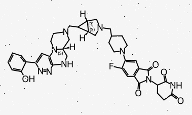 O=C1CCC(N2C(=O)c3cc(F)c(N4CCC(CN5C[C@@H]6C(CN7CCN8c9cc(-c%10ccccc%10O)nnc9NC[C@H]8C7)[C@@H]6C5)CC4)cc3C2=O)C(=O)N1